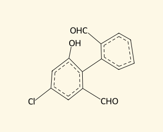 O=Cc1ccccc1-c1c(O)cc(Cl)cc1C=O